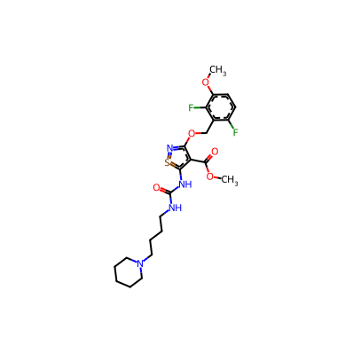 COC(=O)c1c(OCc2c(F)ccc(OC)c2F)nsc1NC(=O)NCCCCN1CCCCC1